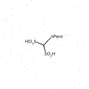 CCCCCC(S(=O)(=O)O)S(=O)(=O)O